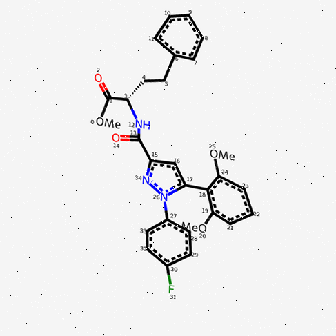 COC(=O)[C@H](CCc1ccccc1)NC(=O)c1cc(-c2c(OC)cccc2OC)n(-c2ccc(F)cc2)n1